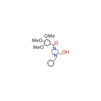 COc1cc(C(=O)N2CCN(Cc3ccccc3)C(CO)C2)cc(OC)c1OC